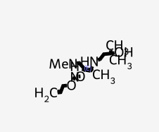 C=CCONO/C(CNC)=C(\C)NCCC(C)(C)O